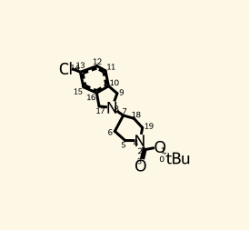 CC(C)(C)OC(=O)N1CCC(N2Cc3ccc(Cl)cc3C2)CC1